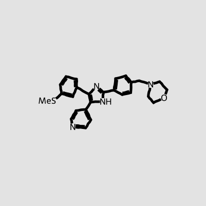 CSc1cccc(-c2nc(-c3ccc(CN4CCOCC4)cc3)[nH]c2-c2ccncc2)c1